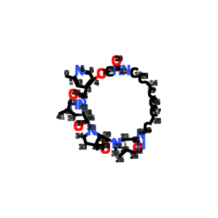 Cc1cc2c(cn1)OCC(=O)NCCCCCCCCNC(=O)[C@H](C(C)C)N(C)C(=O)[C@H]1CCCN1C(=O)[C@@H](CC(C)C)NC2=O